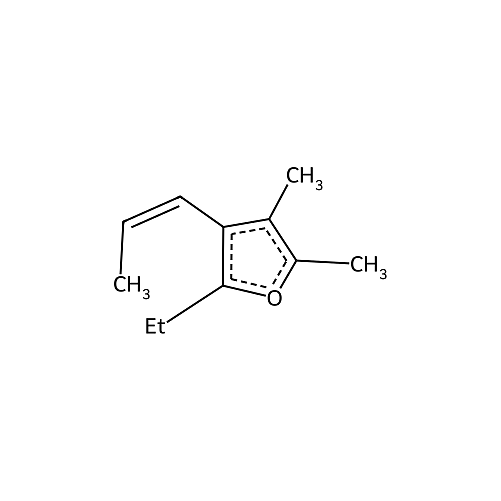 C/C=C\c1c(CC)oc(C)c1C